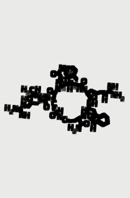 CC(=O)N[C@@H](CCCNC(=N)N)C(=O)N[C@H]1CCC(=O)NCCCC(C(N)=O)NC(=O)[C@H](Cc2c[nH]c3ccccc23)NC(=O)[C@H](CCCNC(=N)N)NC(=O)[C@@H](Cc2ccccc2)NC(=O)[C@H](CCC(N)=O)NC1=O